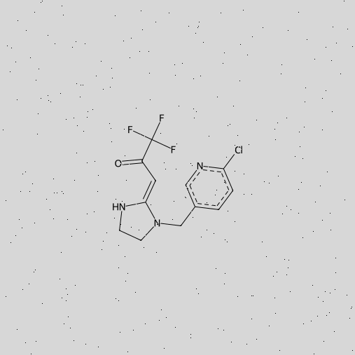 O=C(C=C1NCCN1Cc1ccc(Cl)nc1)C(F)(F)F